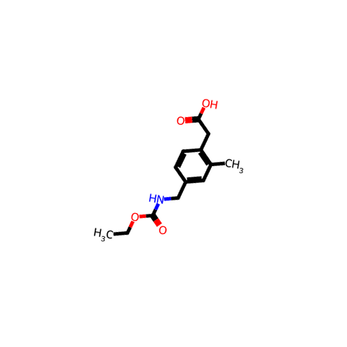 CCOC(=O)NCc1ccc(CC(=O)O)c(C)c1